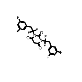 Cc1cc(F)cc(CC(F)(F)N2C(=O)CC(=O)N(C(F)(F)Cc3cc(F)cc(F)c3)C2=O)c1